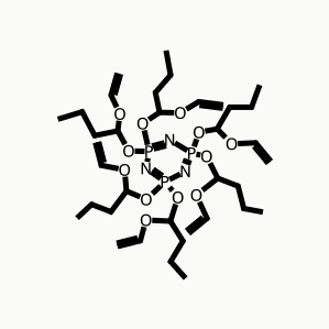 C=COC(CCC)OP1(OC(CCC)OC=C)=NP(OC(CCC)OC=C)(OC(CCC)OC=C)=NP(OC(CCC)OC=C)(OC(CCC)OC=C)=N1